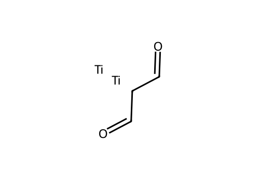 O=CCC=O.[Ti].[Ti]